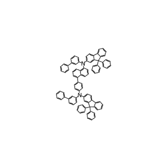 c1ccc(-c2cccc(N(c3ccc(-c4cccc5c(N(c6cccc(-c7ccccc7)c6)c6ccc7c(c6)C(c6ccccc6)(c6ccccc6)c6ccccc6-7)cccc45)cc3)c3ccc4c(c3)C(c3ccccc3)(c3ccccc3)c3ccccc3-4)c2)cc1